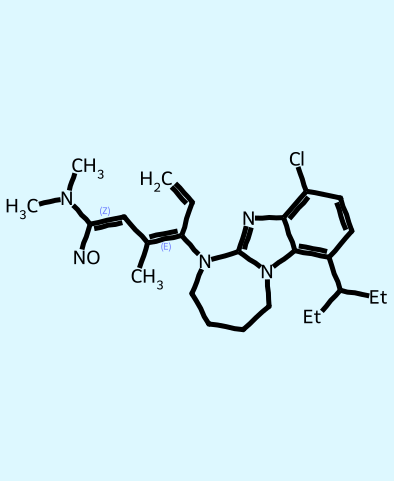 C=C/C(=C(C)\C=C(/N=O)N(C)C)N1CCCCn2c1nc1c(Cl)ccc(C(CC)CC)c12